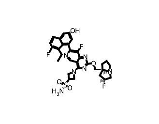 CCc1c(F)ccc2cc(O)cc(-c3ncc4c(N5CC(S(N)(=O)=O)C5)nc(OC[C@@]56CCCN5C[C@H](F)C6)nc4c3F)c12